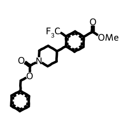 COC(=O)c1ccc(C2CCN(C(=O)OCc3ccccc3)CC2)c(C(F)(F)F)c1